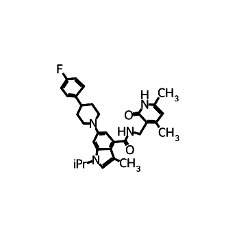 Cc1cc(C)c(CNC(=O)c2cc(N3CCC(c4ccc(F)cc4)CC3)cc3c2c(C)cn3C(C)C)c(=O)[nH]1